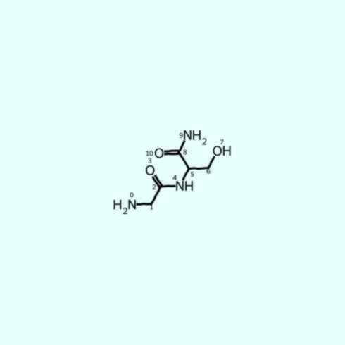 NCC(=O)NC(CO)C(N)=O